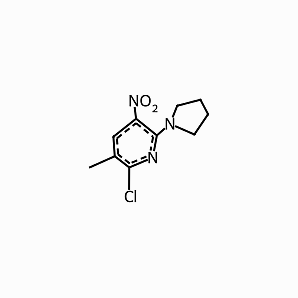 Cc1cc([N+](=O)[O-])c(N2CCCC2)nc1Cl